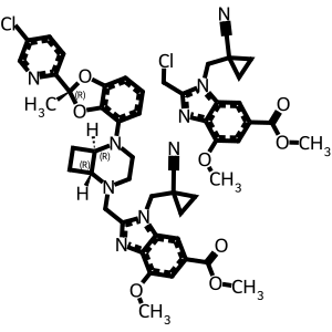 COC(=O)c1cc(OC)c2nc(CCl)n(CC3(C#N)CC3)c2c1.COC(=O)c1cc(OC)c2nc(CN3CCN(c4cccc5c4O[C@](C)(c4ccc(Cl)cn4)O5)[C@@H]4CC[C@H]43)n(CC3(C#N)CC3)c2c1